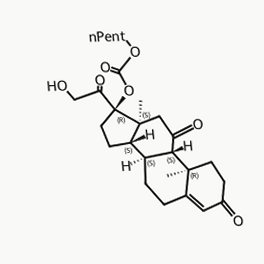 CCCCCOC(=O)O[C@]1(C(=O)CO)CC[C@H]2[C@@H]3CCC4=CC(=O)CC[C@]4(C)[C@H]3C(=O)C[C@@]21C